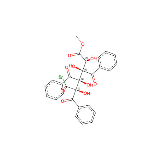 COC(=O)[C@@H](O)[C@](O)(C(=O)c1ccccc1)[C@@](O)(C(=O)c1ccccc1)[C@@](O)(C(=O)Br)C(=O)c1ccccc1